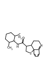 CC1CCCC(C)N1NC(=O)C1CSC23C=CC=CC2=NCCC13